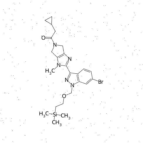 Cn1c(-c2nn(COCC[Si](C)(C)C)c3cc(Br)ccc23)nc2c1CN(C(=O)CC1CC1)C2